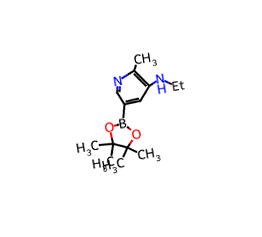 CCNc1cc(B2OC(C)(C)C(C)(C)O2)cnc1C